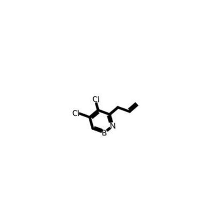 C=CCc1nbcc(Cl)c1Cl